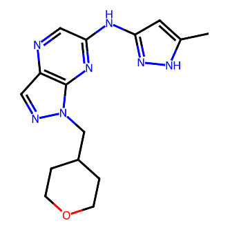 Cc1cc(Nc2cnc3cnn(CC4CCOCC4)c3n2)n[nH]1